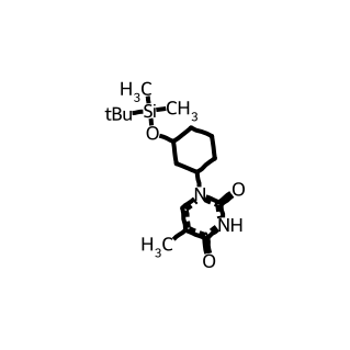 Cc1cn(C2CCCC(O[Si](C)(C)C(C)(C)C)C2)c(=O)[nH]c1=O